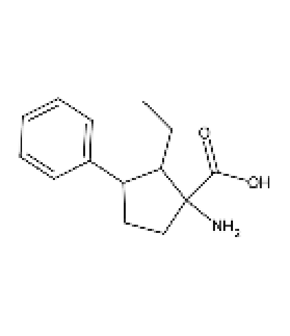 CCC1C(c2ccccc2)CCC1(N)C(=O)O